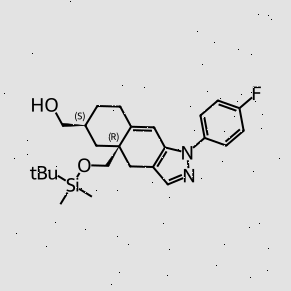 CC(C)(C)[Si](C)(C)OC[C@]12Cc3cnn(-c4ccc(F)cc4)c3C=C1CC[C@H](CO)C2